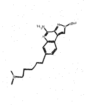 CCCCn1cc2c(n1)c(N)nc1cc(CCCCCN(C)C)ccc12